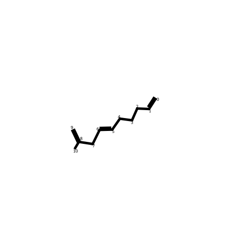 C=CCCC/C=C/CC(=C)C